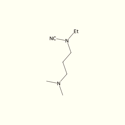 CCN(C#N)CCCN(C)C